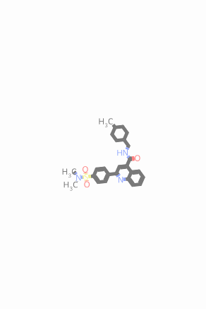 CC1CCC(CNC(=O)c2cc(-c3ccc(S(=O)(=O)N(C)C)cc3)nc3ccccc23)CC1